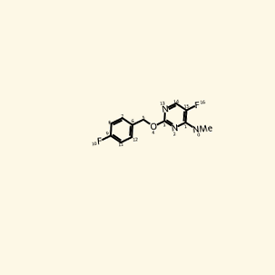 CNc1nc(OCc2ccc(F)cc2)ncc1F